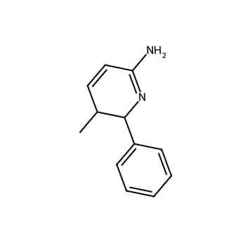 CC1C=CC(N)=NC1c1ccccc1